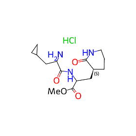 COC(=O)C(C[C@@H]1CCCNC1=O)NC(=O)C(N)CC1CC1.Cl